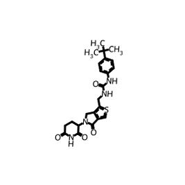 CC(C)(C)c1ccc(NC(=O)NCc2scc3c2CN(C2CCC(=O)NC2=O)C3=O)cc1